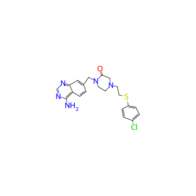 Nc1ncnc2cc(CN3CCN(CCSc4ccc(Cl)cc4)CC3=O)ccc12